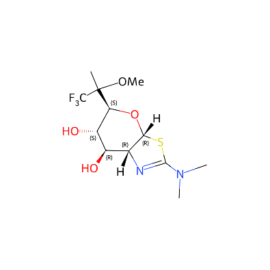 COC(C)([C@H]1O[C@@H]2SC(N(C)C)=N[C@@H]2[C@@H](O)[C@@H]1O)C(F)(F)F